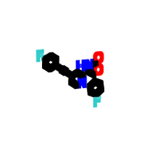 O=C1N[C@@H](c2cc(C#Cc3ccc(F)cc3)ccn2)[C@H](c2ccc(F)cc2)O1